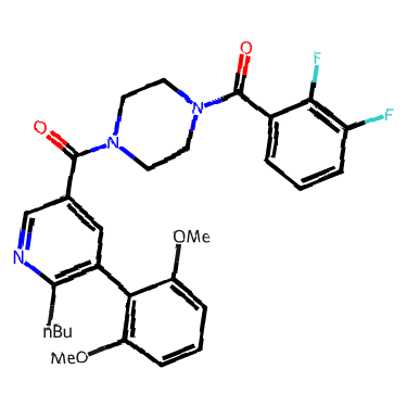 CCCCc1ncc(C(=O)N2CCN(C(=O)c3cccc(F)c3F)CC2)cc1-c1c(OC)cccc1OC